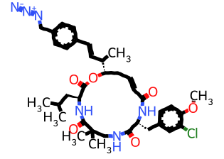 COc1ccc(C[C@H]2NC(=O)/C=C/C[C@@H](C(C)/C=C/c3ccc(CN=[N+]=[N-])cc3)OC(=O)[C@H](CC(C)C)NC(=O)C(C)(C)CNC2=O)cc1Cl